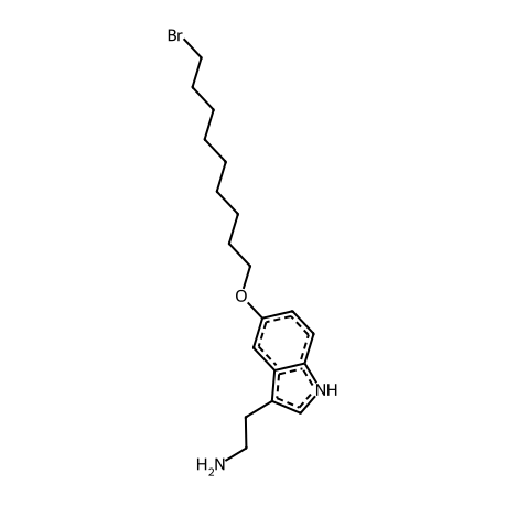 NCCc1c[nH]c2ccc(OCCCCCCCCCBr)cc12